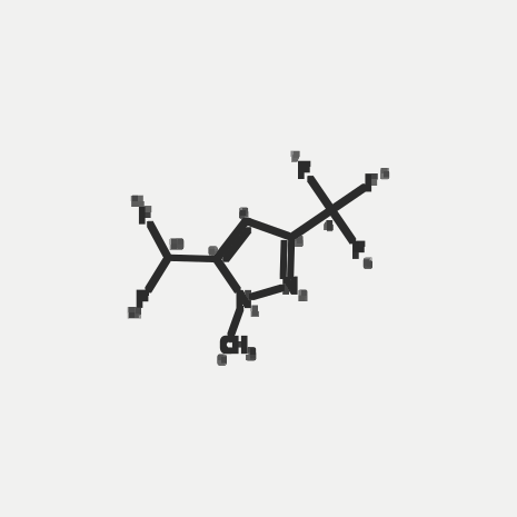 Cn1nc(C(F)(F)F)cc1C(F)F